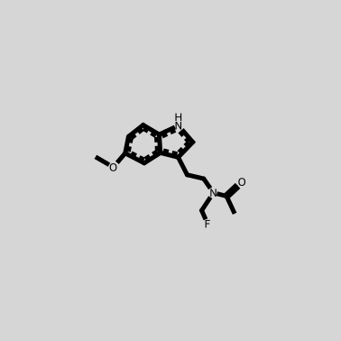 COc1ccc2[nH]cc(CCN(CF)C(C)=O)c2c1